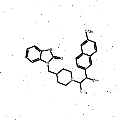 COc1ccc2cc(C(O)C(C)N3CCC(Cn4c(=O)[nH]c5ccccc54)CC3)ccc2c1